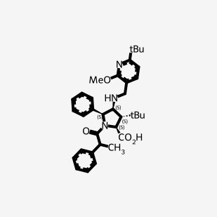 COc1nc(C(C)(C)C)ccc1CN[C@H]1[C@H](C(C)(C)C)[C@@H](C(=O)O)N(C(=O)C(C)c2ccccc2)[C@H]1c1ccccc1